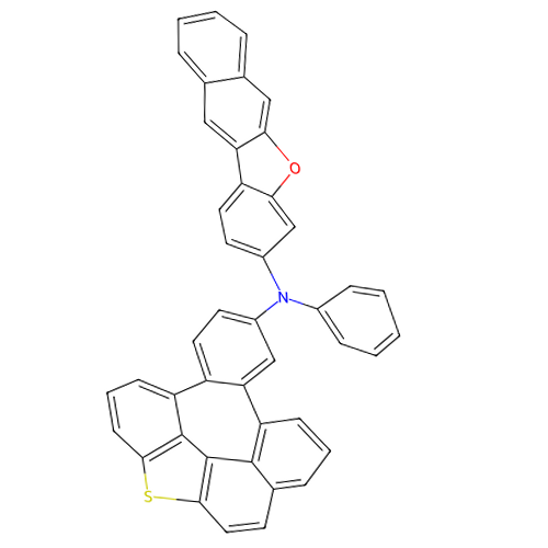 c1ccc(N(c2ccc3c(c2)-c2cccc4ccc5sc6cccc-3c6c5c24)c2ccc3c(c2)oc2cc4ccccc4cc23)cc1